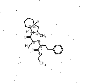 CCOC(=O)[C@H](CCc1ccccc1)N[C@@H](C)C(=O)N1[C@H](C)C[C@H]2CCCC[C@@H]21